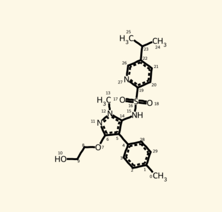 Cc1ccc(-c2c(OCCO)nn(C)c2NS(=O)(=O)c2ccc(C(C)C)cn2)cc1